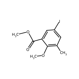 COC(=O)c1cc(I)cc(C)c1OC